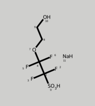 O=S(=O)(O)C(F)(F)C(F)(F)OCCO.[NaH]